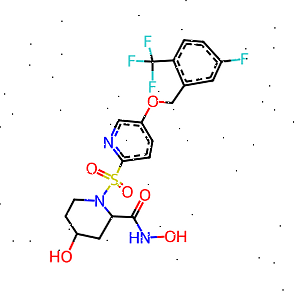 O=C(NO)C1CC(O)CCN1S(=O)(=O)c1ccc(OCc2cc(F)ccc2C(F)(F)F)cn1